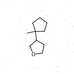 CC1(C2CCOC2)CCCC1